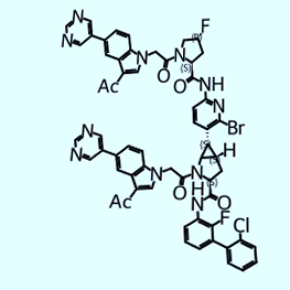 CC(=O)c1cn(CC(=O)N2C[C@H](F)C[C@H]2C(=O)Nc2ccc([C@H]3C4[C@H]3C[C@@H](C(=O)Nc3cccc(-c5ccccc5Cl)c3F)N4C(=O)Cn3cc(C(C)=O)c4cc(-c5cncnc5)ccc43)c(Br)n2)c2ccc(-c3cncnc3)cc12